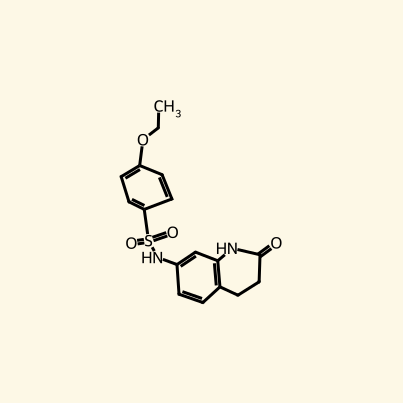 CCOc1ccc(S(=O)(=O)Nc2ccc3c(c2)NC(=O)CC3)cc1